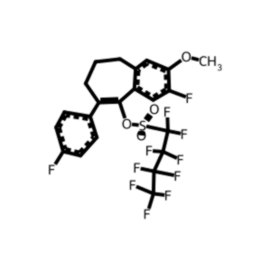 COc1cc2c(cc1F)C(OS(=O)(=O)C(F)(F)C(F)(F)C(F)(F)C(F)(F)F)=C(c1ccc(F)cc1)CCC2